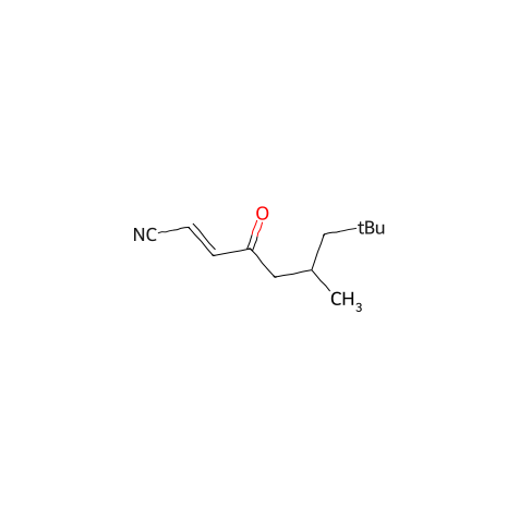 CC(CC(=O)C=CC#N)CC(C)(C)C